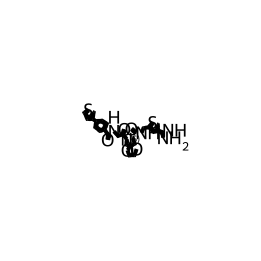 N=C(N)c1csc(CNC(=O)[C@@H]2CC3(CN2C(=O)CNC(=O)c2ccc(-c4ccsc4)cc2)OCCO3)c1